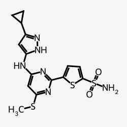 CSc1cc(Nc2cc(C3CC3)n[nH]2)nc(-c2ccc(S(N)(=O)=O)s2)n1